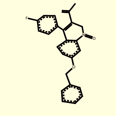 C=C(C)C1=C(c2ccc(F)cc2)c2ccc(OCc3ccccc3)cc2[N+](=O)C1